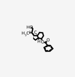 C[C@@H](CO)[C@H]1CC[C@H]2C(OC(=O)c3ccccc3)CCC[C@]12C